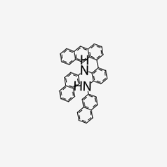 c1cc(Nc2ccc3ccccc3c2)c(Nc2ccc3ccccc3c2)c(-c2cccc3cc4ccccc4cc23)c1